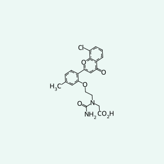 Cc1ccc(-c2cc(=O)c3cccc(Cl)c3o2)c(OCCN(CC(=O)O)C(N)=O)c1